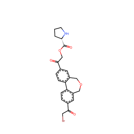 O=C(CBr)c1ccc2c(c1)COCc1cc(C(=O)COC(=O)[C@@H]3CCCN3)ccc1-2